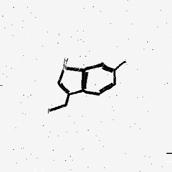 Cc1ccc2c(CI)c[nH]c2c1